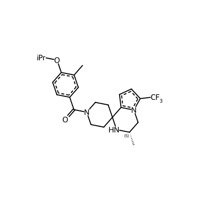 Cc1cc(C(=O)N2CCC3(CC2)N[C@@H](C)Cn2c(C(F)(F)F)ccc23)ccc1OC(C)C